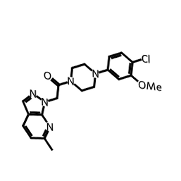 COc1cc(N2CCN(C(=O)Cn3ncc4ccc(C)nc43)CC2)ccc1Cl